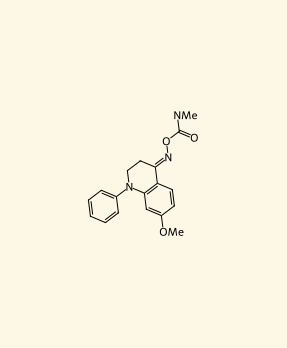 CNC(=O)O/N=C1\CCN(c2ccccc2)c2cc(OC)ccc21